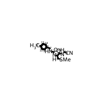 CSCC(NC(=O)NCc1ccc(C)cc1)C(=O)NCC#N